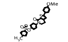 COc1ccc(-c2cc3c(s2)C(=O)N(c2ccc(OS(=O)(=O)c4ccc(C)cc4)cc2)CC3)cc1